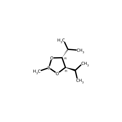 CB1O[C@H](C(C)C)[C@@H](C(C)C)O1